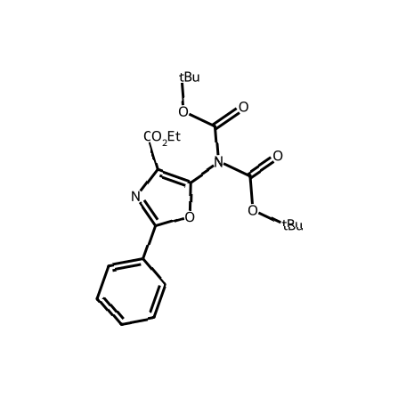 CCOC(=O)c1nc(-c2ccccc2)oc1N(C(=O)OC(C)(C)C)C(=O)OC(C)(C)C